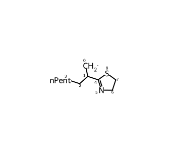 [CH2]C(CCCCCC)C1=NCCS1